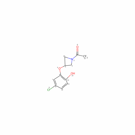 O=C(N1CC(Oc2cc(Cl)ccc2O)C1)C(F)(F)F